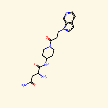 NC(=O)CC(N)C(=O)NC1CCN(C(=O)CCn2ccc3ccncc32)CC1